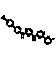 Cc1cccc(-c2nccc(Nc3ccnc(Nc4ccc(N5CCN(C6CC6)CC5)cc4)n3)n2)n1